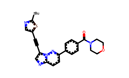 CC(C)(C)c1ncc(C#Cc2cnc3ccc(-c4ccc(C(=O)N5CCOCC5)cc4)nn23)s1